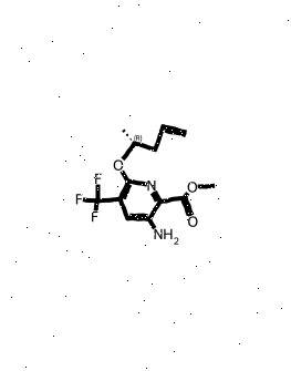 C=CC[C@@H](C)Oc1nc(C(=O)OC)c(N)cc1C(F)(F)F